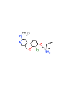 CCOC(=O)Nc1cc2c(cn1)COc1c-2ccc(OC[C@@](C)(N)CC(C)C)c1Cl